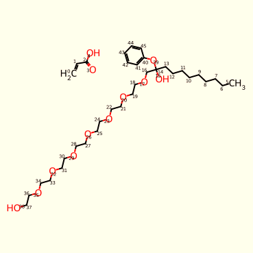 C=CC(=O)O.CCCCCCCCCC(O)(COCCOCCOCCOCCOCCOCCOCCO)Oc1ccccc1